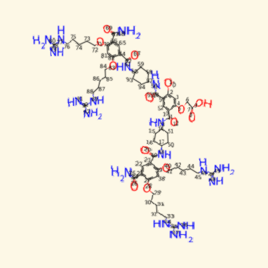 COc1cc(OCC(=O)O)c(C(=O)N[C@H]2CC[C@H](NC(=O)c3cc(C(N)=O)c(OCCCCCNC(=N)N)cc3OCCCCCNC(=N)N)CC2)cc1C(=O)N[C@H]1CC[C@H](NC(=O)c2cc(C(N)=O)c(OCCCCCNC(=N)N)cc2OCCCCCNC(=N)N)CC1